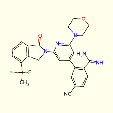 CC(F)(F)c1cccc2c1CN(c1cc(-c3cc(C#N)ccc3C(=N)N)cc(N3CCOCC3)n1)C2=O